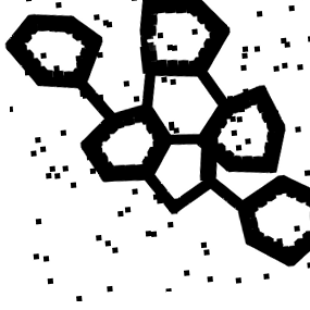 [CH]1C(c2ccccc2)=Cc2c1ccc(-c1ccccc1)c2-c1ccccc1-c1ccccc1